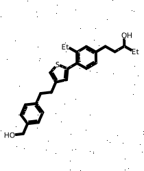 CCc1cc(CCC(O)CC)ccc1-c1cc(CCc2c[c]c(CO)cc2)cs1